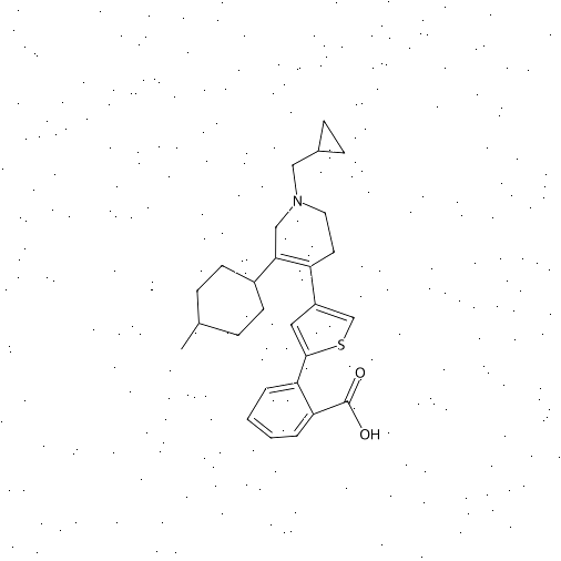 CC1CCC(C2=C(c3csc(-c4ccccc4C(=O)O)c3)CCN(CC3CC3)C2)CC1